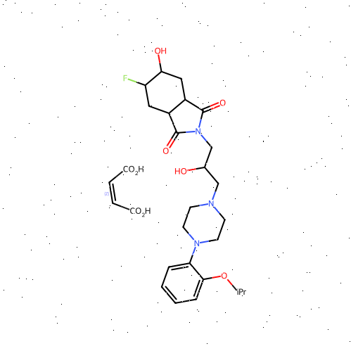 CC(C)Oc1ccccc1N1CCN(CC(O)CN2C(=O)C3CC(O)C(F)CC3C2=O)CC1.O=C(O)/C=C\C(=O)O